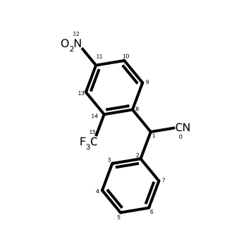 N#CC(c1ccccc1)c1ccc([N+](=O)[O-])cc1C(F)(F)F